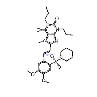 CCCn1c(=O)c2c(nc(/C=C/c3cc(OC)c(OC)cc3S(=O)(=O)N3CCCCC3)n2C)n(CCC)c1=O